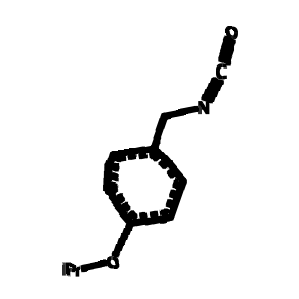 CC(C)Oc1ccc(CN=C=O)cc1